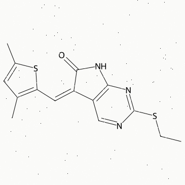 CCSc1ncc2c(n1)NC(=O)C2=Cc1sc(C)cc1C